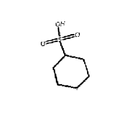 O=S(=O)(O)C1CC[CH]CC1